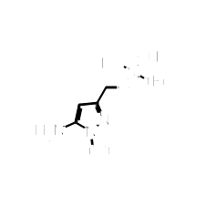 CCCn1nc(CO[Si](C)(C)C(C)(C)C)cc1N